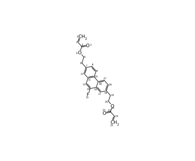 C=CC(=O)OCCc1ccc2c(c1)cc(F)c1cc(CCOC(=O)C=C)ccc12